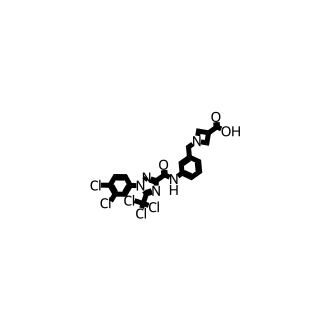 O=C(Nc1cccc(CN2CC(C(=O)O)C2)c1)c1nc(C(Cl)(Cl)Cl)n(-c2ccc(Cl)c(Cl)c2)n1